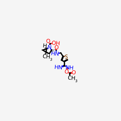 CC(=O)ONC(=N)c1csc(CNC(=O)[C@@H]2C[C@]3(C)C[C@@H]3N2C(=O)O)c1